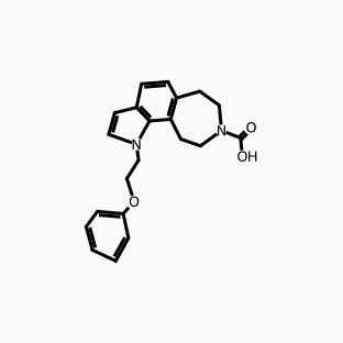 O=C(O)N1CCc2ccc3ccn(CCOc4ccccc4)c3c2CC1